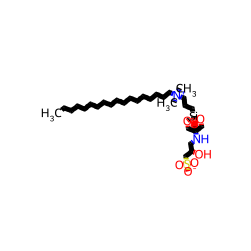 CCCCCCCCCCCCCCCCCC[N+](C)(C)CCC[Si]12OCC(NCC(O)CS(=O)(=O)[O-])(CO1)CO2